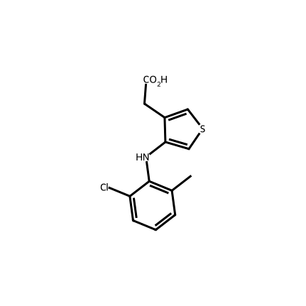 Cc1cccc(Cl)c1Nc1cscc1CC(=O)O